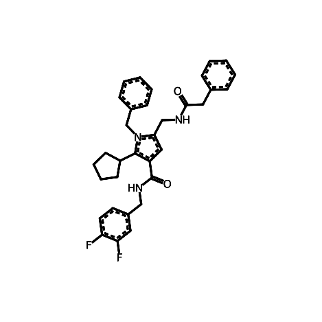 O=C(Cc1ccccc1)NCc1cc(C(=O)NCc2ccc(F)c(F)c2)c(C2CCCC2)n1Cc1ccccc1